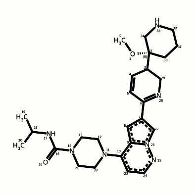 CO[C@@]1(C2C=CC(c3cc4c(N5CCN(C(=O)NC(C)C)CC5)ccnn4c3)=NC2)CCCNC1